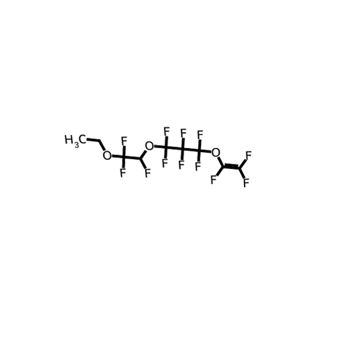 CCOC(F)(F)C(F)OC(F)(F)C(F)(F)C(F)(F)OC(F)=C(F)F